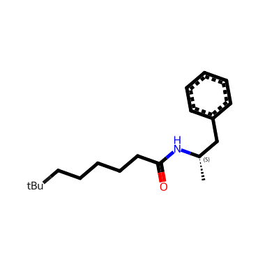 C[C@@H](Cc1ccccc1)NC(=O)CCCCCC(C)(C)C